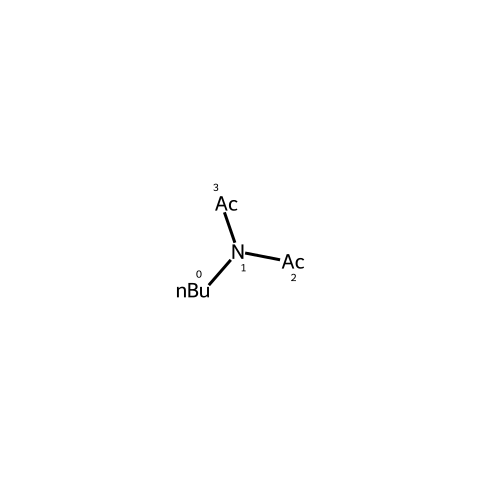 CCCCN(C(C)=O)C(C)=O